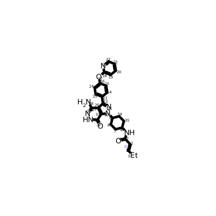 CC/C=C/C(=O)NC1CCC(n2nc(-c3ccc(Oc4ccccn4)cc3)c3c(N)n[nH]c(=O)c32)CC1